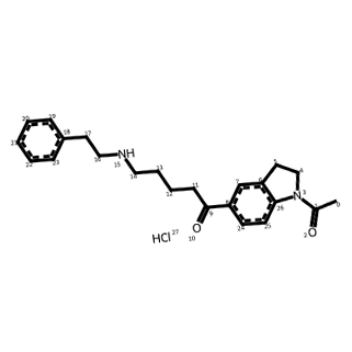 CC(=O)N1CCc2cc(C(=O)CCCCNCCc3ccccc3)ccc21.Cl